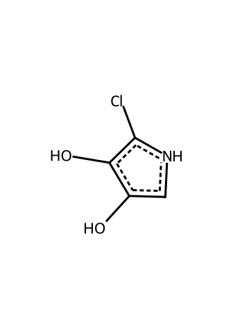 Oc1c[nH]c(Cl)c1O